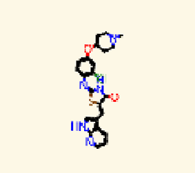 CN1CCC(Oc2ccc(N=C3NC(=O)C(=Cc4c[nH]c5ncccc45)S3)c(Cl)c2)CC1